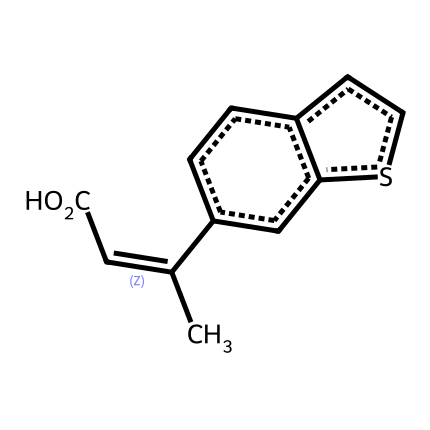 C/C(=C/C(=O)O)c1ccc2ccsc2c1